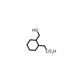 O=C(O)CC1CCCCC1CO